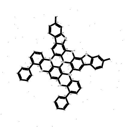 Cc1ccc2c(c1)oc1c3c4c(cc12)B1c2cccc(-c5ccccc5)c2Sc2cc5c6c(c21)N4c1c(cc2c(oc4cc(C)ccc42)c1S3)B6c1cccc(-c2ccccc2)c1S5